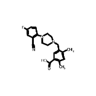 Cc1cc(C)c(C(=O)O)cc1CN1CCN(c2ccc(F)cc2C#N)CC1